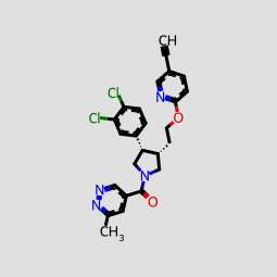 C#Cc1ccc(OCC[C@@H]2CN(C(=O)c3cnnc(C)c3)C[C@@H]2c2ccc(Cl)c(Cl)c2)nc1